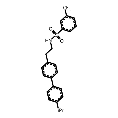 [CH2]C(C)c1ccc(-c2ccc(CCNS(=O)(=O)c3cccc(C(F)(F)F)c3)cc2)cc1